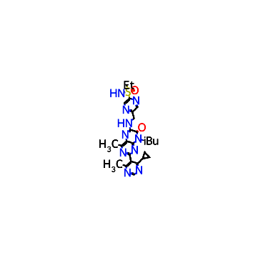 CC[C@H](C)n1c(=O)c(NCc2cnc(S(=N)(=O)CC)cn2)nc2c(C)nc(-c3c(C)ncnc3C3CC3)nc21